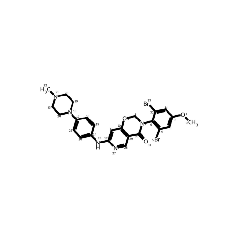 COc1cc(Br)c(N2COc3cc(Nc4ccc(N5CCN(C)CC5)cc4)ncc3C2=O)c(Br)c1